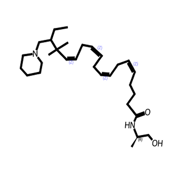 CCC(CN1CCCCC1)C(C)(C)/C=C\C/C=C\C/C=C\C/C=C\CCCC(=O)N[C@H](C)CO